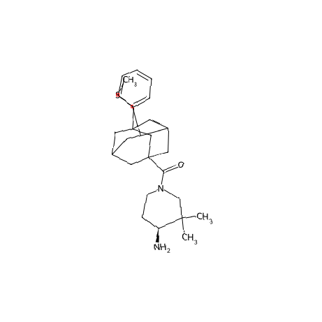 CSCC1CC2CC3(C(=O)N4CC[C@H](N)C(C)(C)C4)CC1CC(c1ccccc1)(C2)C3